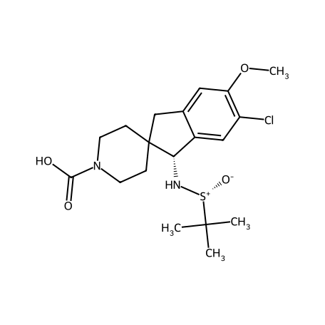 COc1cc2c(cc1Cl)[C@H](N[S@+]([O-])C(C)(C)C)C1(CCN(C(=O)O)CC1)C2